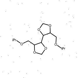 CC(C)OCC1OCOC1C1OCOC1COC(C)C